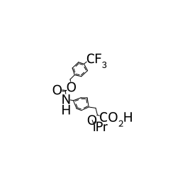 CC(C)OC(Cc1ccc(NC(=O)OCc2ccc(C(F)(F)F)cc2)cc1)C(=O)O